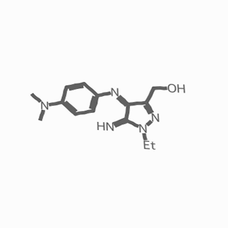 CCN1N=C(CO)C(=Nc2ccc(N(C)C)cc2)C1=N